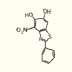 O=[N+]([O-])c1c(O)c(O)cc2sc(-c3ccccc3)nc12